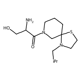 CC(C)CN1CCSC12CCCN(C(=O)C(N)CO)C2